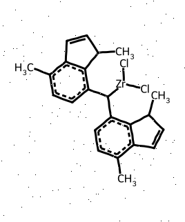 Cc1ccc([CH](c2ccc(C)c3c2C(C)C=C3)[Zr]([Cl])[Cl])c2c1C=CC2C